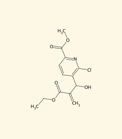 C=C(C(=O)OCC)C(O)c1ccc(C(=O)OC)nc1Cl